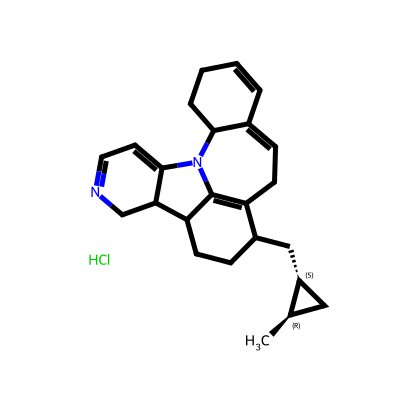 C[C@@H]1C[C@H]1CC1CCC2C3=C1CC=C1C=CCCC1N3C1=CC=NCC12.Cl